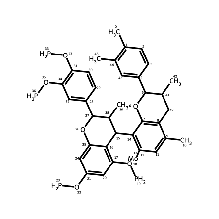 Cc1ccc(C2Oc3c(c(C)c[c]([Mo])c3C3c4c(OP)cc(OP)cc4OC(c4ccc(OP)c(OP)c4)C3C)CC2C)cc1C